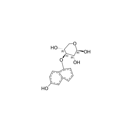 Oc1ccc2c(O[C@@H]3[C@@H](O)[C@H](O)OC[C@H]3O)cccc2c1